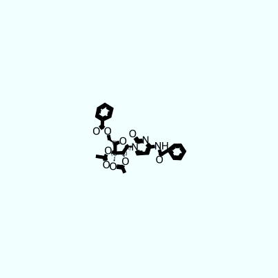 CC(=O)O[C@H]1[C@H](n2ccc(NC(=O)c3ccccc3)nc2=O)O[C@H](COC(=O)c2ccccc2)[C@]1(C)OC(C)=O